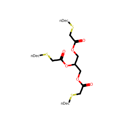 CCCCCCCCCCSCC(=O)OCC(COC(=O)CSCCCCCCCCCC)OC(=O)CSCCCCCCCCCC